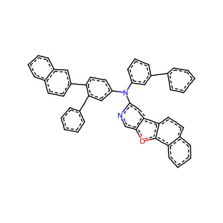 c1ccc(-c2cccc(N(c3ccc(-c4ccc5ccccc5c4)c(-c4ccccc4)c3)c3cc4c(cn3)oc3c5ccccc5ccc43)c2)cc1